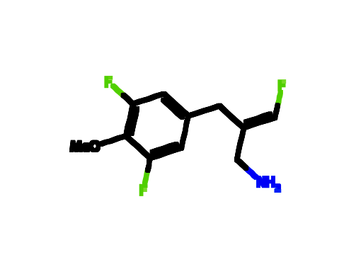 COc1c(F)cc(C/C(=C\F)CN)cc1F